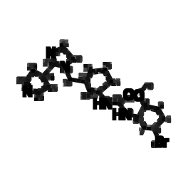 COc1ccc(Br)cc1NC(=O)Nc1cccc(Cn2ccnc2-c2ccncc2)c1